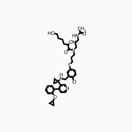 CC(=O)NCCCN(CCCSc1ccc(Cl)c(CNC2(c3cnccc3-c3ccccc3OC3CC3)CC2)c1)C(=O)C(O)CCCCO